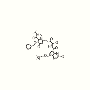 CC(C)N1CCn2c(CCC(=O)[C@H](NC(=O)c3cn(COCC[Si](C)(C)C)c4ncc(C5CC5)nc34)C3CC3)cc(=O)c(OCc3ccccc3)c2C1=O